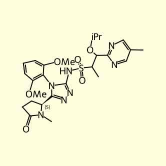 COc1cccc(OC)c1-n1c(NS(=O)(=O)C(C)C(OC(C)C)c2ncc(C)cn2)nnc1[C@@H]1CCC(=O)N1C